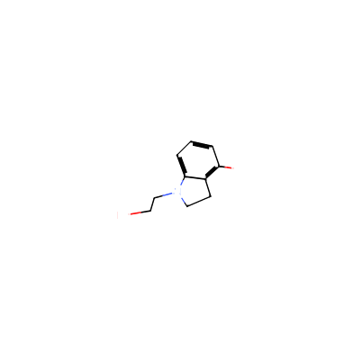 OCCN1CCc2c(O)cccc21